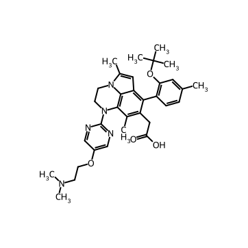 Cc1ccc(-c2c(CC(=O)O)c(C)c3c4c2cc(C)n4CCN3c2ncc(OCCN(C)C)cn2)c(OC(C)(C)C)c1